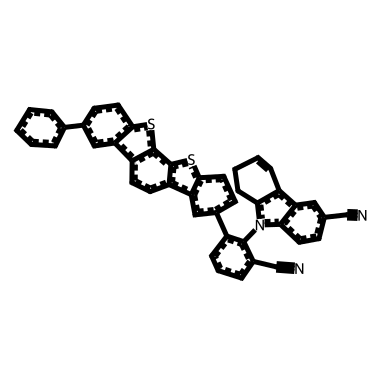 N#Cc1ccc2c(c1)c1c(n2-c2c(C#N)cccc2-c2ccc3sc4c(ccc5c6cc(-c7ccccc7)ccc6sc54)c3c2)CCC=C1